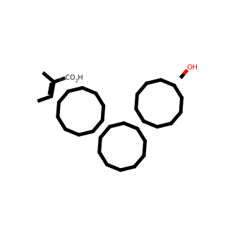 C1CCCCCCCCC1.C1CCCCCCCCC1.C1CCCCCCCCC1.CC=C(C)C(=O)O.CO